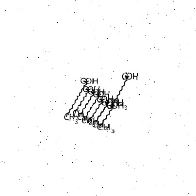 CCCCCCCCCC(=O)O.CCCCCCCCCC(=O)O.CCCCCCCCCC(=O)O.CCCCCCCCCCCC(=O)O.CCCCCCCCCCCC(=O)O.CCCCCCCCCCCC(=O)O.CCCCCCCCCCCC(=O)O.CCCCCCCCCCCCCCCCCC(=O)O